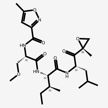 CC[C@H](C)[C@H](NC(=O)[C@H](COC)NC(=O)c1cc(C)on1)C(=O)N[C@@H](CC(C)C)C(=O)[C@@]1(C)CO1